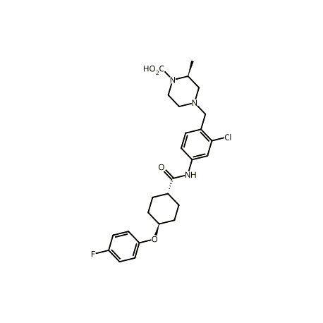 C[C@H]1CN(Cc2ccc(NC(=O)[C@H]3CC[C@H](Oc4ccc(F)cc4)CC3)cc2Cl)CCN1C(=O)O